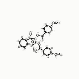 COc1ccc(C(=O)O[C@@H]2[C@H](OC(=O)c3ccc(OC)cc3)[C@@H]3C[C@H]2c2ccccc23)cc1